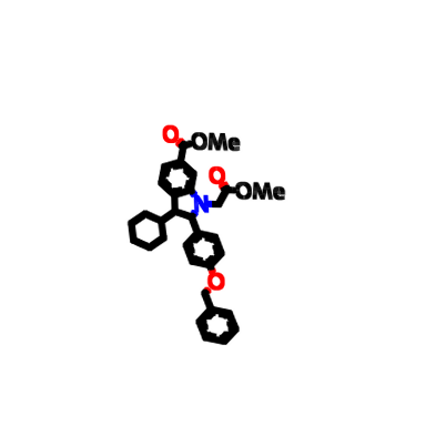 COC(=O)CN1c2cc(C(=O)OC)ccc2C(C2CCCCC2)C1c1ccc(OCc2ccccc2)cc1